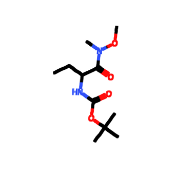 CCC(NC(=O)OC(C)(C)C)C(=O)N(C)OC